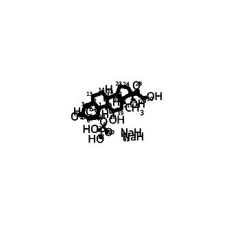 C[C@@]12C(=CC(=O)C=C1OP(=O)(O)O)CC[C@@H]1[C@@H]2[C@@H](O)C[C@@]2(C)[C@H]1CC[C@]2(O)C(=O)CO.[NaH].[NaH]